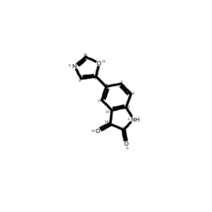 O=C1Nc2ccc(-c3cnco3)cc2C1=O